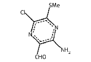 CSc1nc(N)c(C=O)nc1Cl